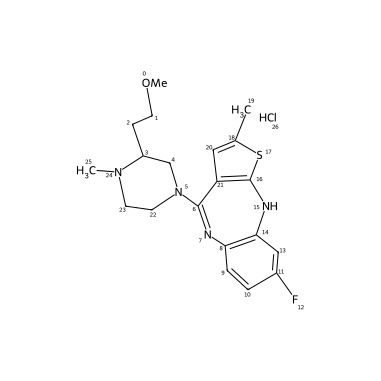 COCCC1CN(C2=Nc3ccc(F)cc3Nc3sc(C)cc32)CCN1C.Cl